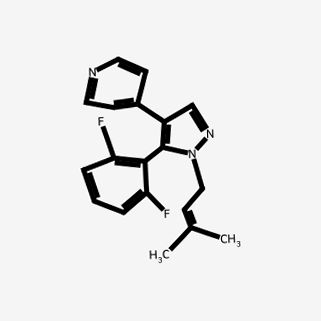 CC(C)=CCn1ncc(-c2ccncc2)c1-c1c(F)cccc1F